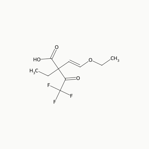 CCOC=CC(CC)(C(=O)O)C(=O)C(F)(F)F